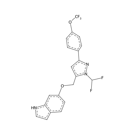 FC(F)n1nc(-c2ccc(OC(F)(F)F)cc2)cc1COc1ccc2cc[nH]c2c1